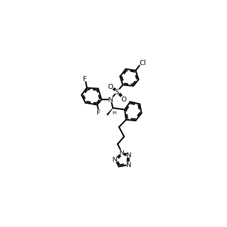 C[C@H](c1ccccc1CCCn1ncnn1)N(c1cc(F)ccc1F)S(=O)(=O)c1ccc(Cl)cc1